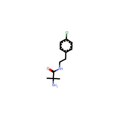 CC(C)(N)C(=O)NCCc1ccc(Cl)cc1